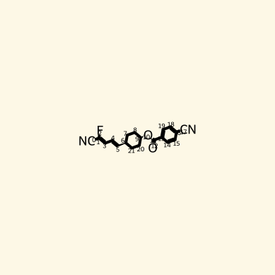 N#C/C(F)=C/C=C/[C@H]1CC[C@H](OC(=O)c2ccc(C#N)cc2)CC1